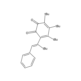 CC(C)(C)C(=Cc1ccccc1)C1=C(C(C)(C)C)C(C(C)(C)C)=C(C(C)(C)C)C(=O)C1=O